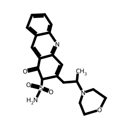 CC(CC1=Cc2nc3ccccc3cc2C(=O)C1S(N)(=O)=O)N1CCOCC1